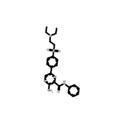 CCN(CC)CCS(=O)(=O)c1ccc(-c2cnc(N)c(C(=O)Nc3ccccc3)n2)cc1